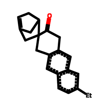 CCc1ccc2cc3c(cc2c1)CC(=O)C1(CC2=CCC1C2)C3